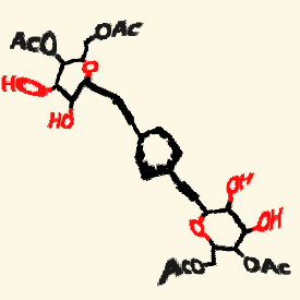 CC(=O)OCC1OC(C#Cc2ccc(C#CC3OC(COC(C)=O)C(OC(C)=O)C(O)C3O)cc2)C(O)C(O)C1OC(C)=O